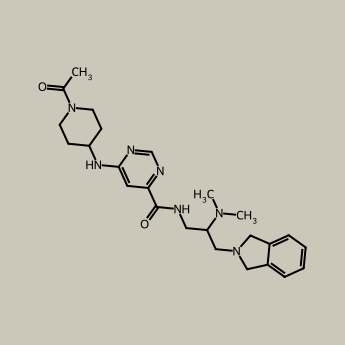 CC(=O)N1CCC(Nc2cc(C(=O)NCC(CN3Cc4ccccc4C3)N(C)C)ncn2)CC1